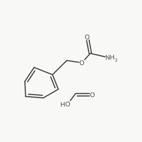 NC(=O)OCc1ccccc1.O=CO